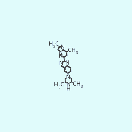 Cc1cn2nc(-c3ncc4cc(N5C[C@@H](C)N[C@@H](C)C5)ccc4n3)cc(C)c2n1